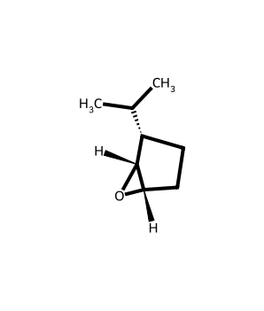 CC(C)[C@@H]1CC[C@@H]2O[C@@H]21